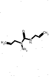 C=CCNC(=O)N(N)CC=C